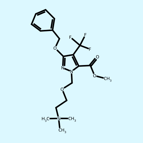 COC(=O)c1c(C(F)(F)F)c(OCc2ccccc2)nn1COCC[Si](C)(C)C